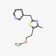 Cc1nc([CH]c2cccnc2)sc1CCO[N+](=O)[O-]